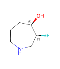 O[C@@H]1CCCNC[C@@H]1F